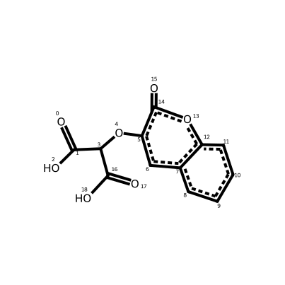 O=C(O)C(Oc1cc2ccccc2oc1=O)C(=O)O